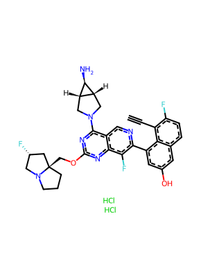 C#Cc1c(F)ccc2cc(O)cc(-c3ncc4c(N5C[C@@H]6[C@@H](N)[C@@H]6C5)nc(OC[C@@]56CCCN5C[C@H](F)C6)nc4c3F)c12.Cl.Cl